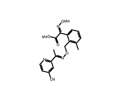 CO/N=C(/C(=O)OC)c1cccc(C)c1CO/N=C(\C)c1cc(C#N)ccn1